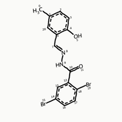 Cc1ccc(O)c(/C=N/NC(=O)c2cc(Br)ccc2Br)c1